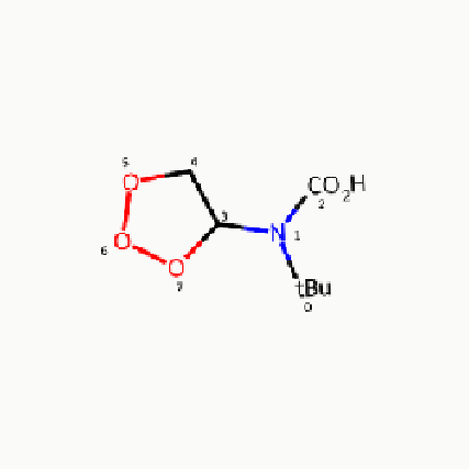 CC(C)(C)N(C(=O)O)C1COOO1